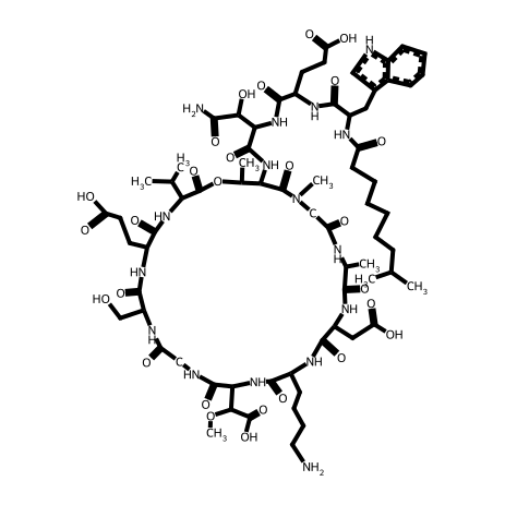 COC(C(=O)O)C1NC(=O)C(CCCCN)NC(=O)C(CC(=O)O)NC(=O)C(C)NC(=O)CN(C)C(=O)C(NC(=O)C(NC(=O)C(CCC(=O)O)NC(=O)C(Cc2c[nH]c3ccccc23)NC(=O)CCCCCCC(C)C)C(O)C(N)=O)C(C)OC(=O)C(C(C)C)NC(=O)C(CCC(=O)O)NC(=O)C(CO)NC(=O)CNC1=O